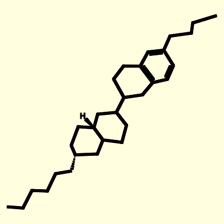 CCCCCC[C@@H]1CC[C@@H]2CC(C3CCc4cc(CCCC)ccc4C3)CCC2C1